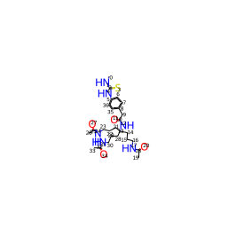 CNC(=S)Nc1ccc(CC(=O)NC(CCCNC(C)=O)(CCCNC(C)=O)CCCNC(C)=O)cc1